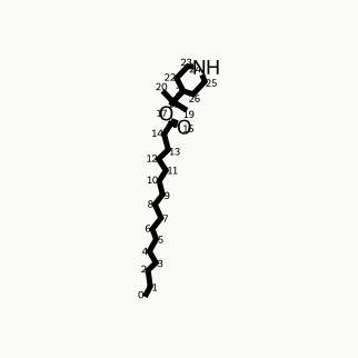 CCCCCCCCCCCCCCCC(=O)OC(C)(C)C1CCNCC1